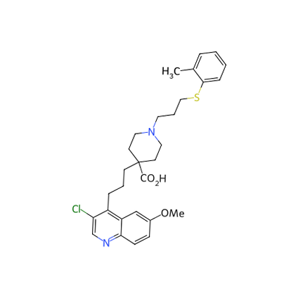 COc1ccc2ncc(Cl)c(CCCC3(C(=O)O)CCN(CCCSc4ccccc4C)CC3)c2c1